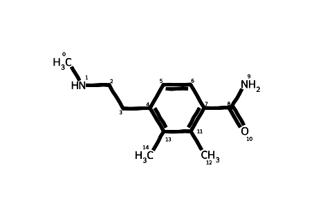 CNCCc1ccc(C(N)=O)c(C)c1C